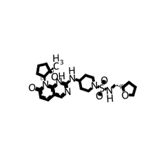 C[C@]1(O)CCC[C@@H]1n1c(=O)ccc2cnc(NC3CCN(S(=O)(=O)NC[C@@H]4CCCO4)CC3)nc21